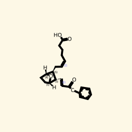 O=C(O)CCC/C=C\C[C@H]1[C@H](/C=C/C(=O)Cc2ccccc2)[C@@H]2CC[C@H]1O2